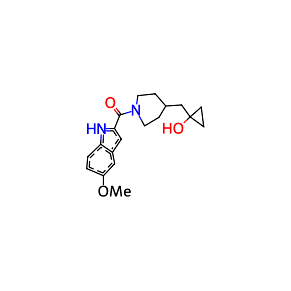 COc1ccc2[nH]c(C(=O)N3CCC(CC4(O)CC4)CC3)cc2c1